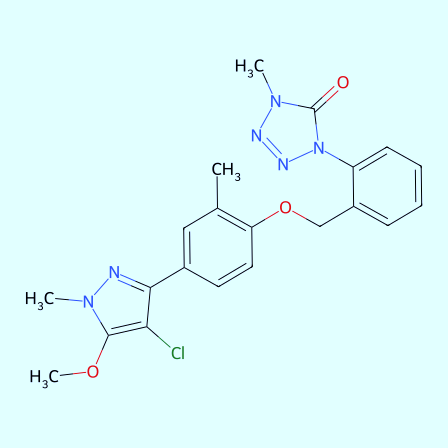 COc1c(Cl)c(-c2ccc(OCc3ccccc3-n3nnn(C)c3=O)c(C)c2)nn1C